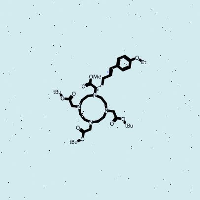 CCOc1ccc(/C=C/CC[C@@H](C(=O)OC)N2CCN(CC(=O)OC(C)(C)C)CCN(CC(=O)OC(C)(C)C)CCN(CC(=O)OC(C)(C)C)CC2)cc1